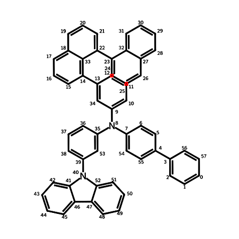 c1ccc(-c2ccc(N(c3cccc(-c4cccc5cccc(-c6cccc7ccccc67)c45)c3)c3cccc(-n4c5ccccc5c5ccccc54)c3)cc2)cc1